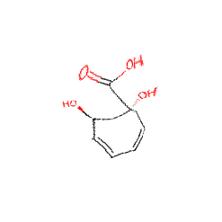 O=C(O)[C@@]1(O)C=CC=C[C@H]1O